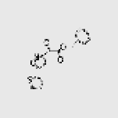 O=C(OCc1ccccc1)C(=O)c1cc(-c2cccs2)on1